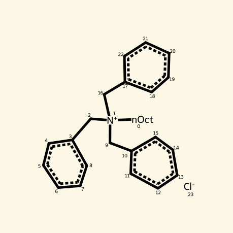 CCCCCCCC[N+](Cc1ccccc1)(Cc1ccccc1)Cc1ccccc1.[Cl-]